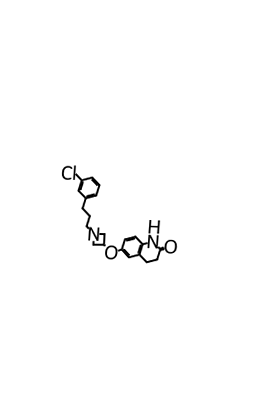 O=C1CCc2cc(OC3CN(CCCc4cccc(Cl)c4)C3)ccc2N1